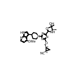 COc1ccnc2[nH]cc(C3CCN(c4nc(OC[C@H]5C[C@H]5C#N)nc(C(=O)N[C@H](C)C(C)(C)O)n4)CC3)c12